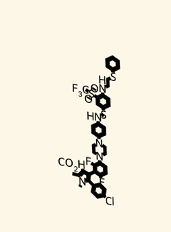 Cc1c(C(=O)O)c(-c2c(F)ccc(N3CCN(c4ccc(NSc5ccc(NCCSc6ccccc6)c(S(=O)(=O)C(F)(F)F)c5)cc4)CC3)c2F)c(-c2ccc(Cl)cc2)n1C